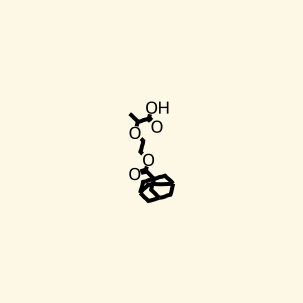 CC(OCCOC(=O)C12CC3CC(CC(C3)C1)C2)C(=O)O